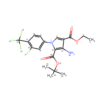 CCOC(=O)c1cn(-c2ccc(C(F)(F)F)c(F)c2)c(C(=O)OC(C)(C)C)c1N